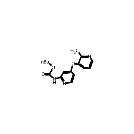 CCCCOC(=O)Nc1cc(Oc2cccnc2C)ccn1